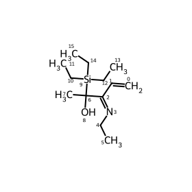 C=CC(=NCC)C(C)(O)[Si](CC)(CC)CC